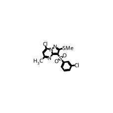 CSc1nn2c(Cl)cc(C)nc2c1S(=O)(=O)c1cccc(Cl)c1